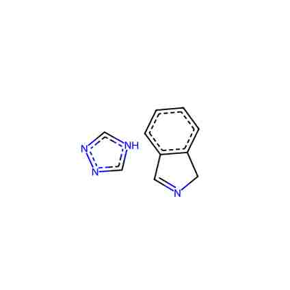 C1=NCc2ccccc21.c1nnc[nH]1